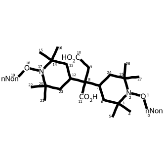 CCCCCCCCCON1C(C)(C)CC(C(CC(=O)O)(C(=O)O)C2CC(C)(C)N(OCCCCCCCCC)C(C)(C)C2)CC1(C)C